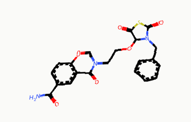 NC(=O)c1ccc2c(c1)C(=O)N(CCOC1C(=O)SC(=O)N1Cc1ccccc1)CO2